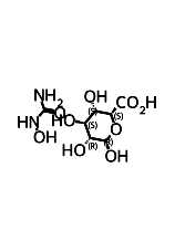 NC(=O)NO.O=C(O)[C@H]1O[C@@H](O)[C@H](O)[C@@H](O)[C@@H]1O